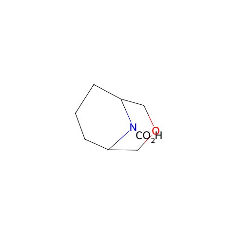 O=C(O)N1C2CCCC1COC2